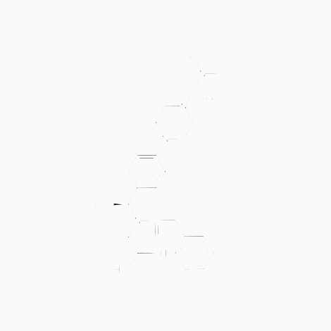 CC(C)CN([C@@H](C)c1ccc(N2CCN(S(=O)(=O)N(C)C)CC2)cc1)S(=O)(=O)Cc1ccccc1